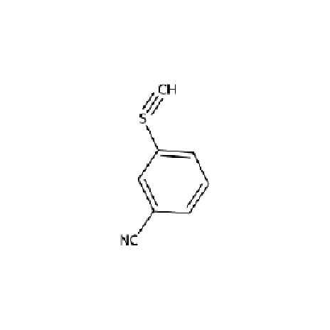 C#Sc1cccc(C#N)c1